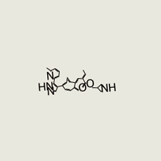 C=C1\C=C/C(c2cn[nH]c2-c2cccc(C)n2)=C/C=C/C1=C/C(=C\C)C(=O)OCC1CNC1